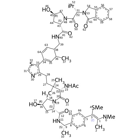 CN/C(C)=C(\SC)c1ccc([C@H](C)NC(=O)[C@@H]2C[C@@H](O)CN2C(=O)[C@@H](NC(C)=O)C(C)(C)CCc2ncsc2C2=CC(C)C(CNC(=O)[C@@H]3C[C@@H](O)CN3C(=O)[C@H](C(C)C)N3Cc4ccccc4C3=O)C=C2)cc1